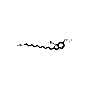 CCCCCCCCCCCCCCCCCCCCc1cc2ccc(C(=O)O)cc2n1CCCC